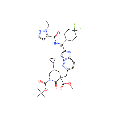 CCn1nccc1C(=O)N[C@H](c1cn2nc(CC3(C(=O)OC)CC(C4CC4)CN(C(=O)OC(C)(C)C)C3=O)ccc2n1)C1CCC(F)(F)CC1